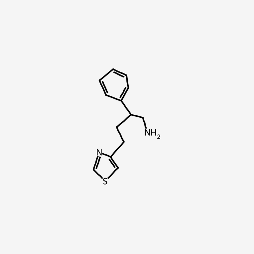 NCC(CCc1cscn1)c1ccccc1